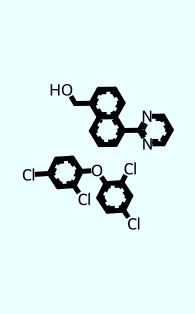 Clc1ccc(Oc2ccc(Cl)cc2Cl)c(Cl)c1.OCc1cccc2c(-c3ncccn3)cccc12